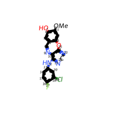 COc1cc2c(cc1O)C=Nc1c(Nc3ccc(F)c(Cl)c3)ncnc1O2